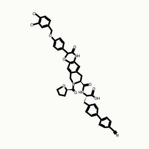 N#Cc1ccc(-c2ccc(C[C@H](NC(=O)[C@@H]3Cc4cc5c(cc4CN3C(=O)[C@H]3CCCO3)OC(c3ccc(OCc4ccc(Cl)c(Cl)c4)cc3)C(=O)N5)C(=O)O)cc2)cc1